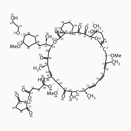 CO[C@H]1C[C@@H]2CC[C@@H](C)[C@@](O)(O2)C(=O)C(=O)N2CCCC[C@H]2C(=O)O[C@H]([C@H](C)C[C@@H]2CC[C@@H](OCCO)[C@H](OC)C2)CC(=O)[C@H](C)/C=C(\C)[C@@H](OC(=O)CCC(=O)ON2C(=O)CCC2=O)[C@@H](OC)C(=O)[C@H](C)C[C@H](C)/C=C/C=C/C=C/1C